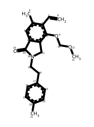 C=Cc1c(C)cc2c(c1OCOC)CN(CCc1ccc(C)cc1)C2=O